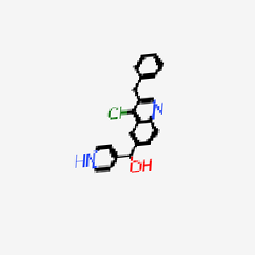 OC(C1=CCNC=C1)c1ccc2ncc(Cc3ccccc3)c(Cl)c2c1